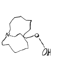 OOC12CCCN1CCC2